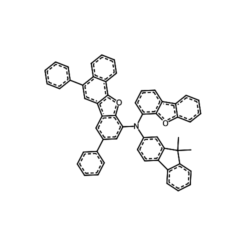 CC1(C)c2ccccc2-c2ccc(N(c3cccc4c3oc3ccccc34)c3cc(-c4ccccc4)cc4c3oc3c5ccccc5c(-c5ccccc5)cc43)cc21